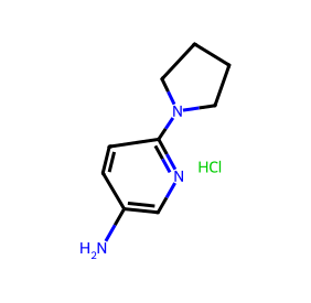 Cl.Nc1ccc(N2CCCC2)nc1